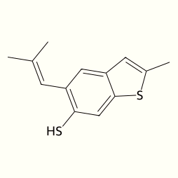 CC(C)=Cc1cc2cc(C)sc2cc1S